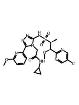 COc1cccc(-c2nnc(NS(=O)(=O)[C@@H](C)[C@H](OC)c3ncc(Cl)cn3)n2CC(=O)NC2CC2)n1